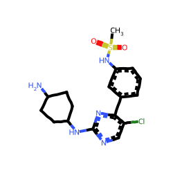 CS(=O)(=O)Nc1cccc(-c2nc(NC3CCC(N)CC3)ncc2Cl)c1